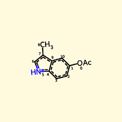 CC(=O)Oc1ccc2[nH]cc(C)c2c1